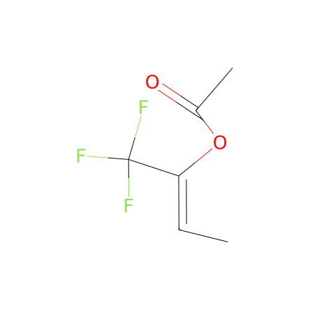 CC=C(OC(C)=O)C(F)(F)F